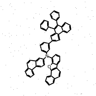 c1ccc(-c2c(-c3ccccc3)c3cc(-c4cccc(N(c5ccc6c(ccc7ccccc76)c5)c5cccc6c5oc5c7ccccc7ccc65)c4)ccc3c3ccccc23)cc1